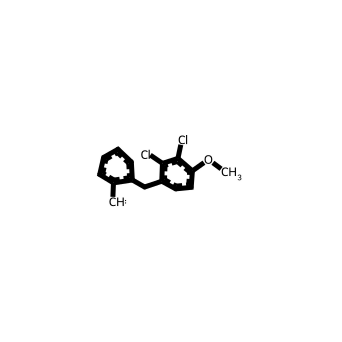 [CH]c1ccccc1Cc1ccc(OC)c(Cl)c1Cl